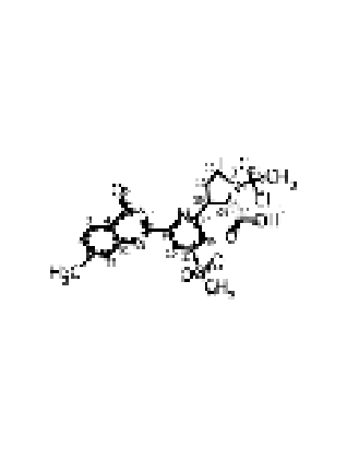 Cc1ccc2c(=O)nc(-c3cc(S(C)(=O)=O)cc(C4CCN(C(C)(C)C)[C@@H]4C(=O)O)n3)sc2c1